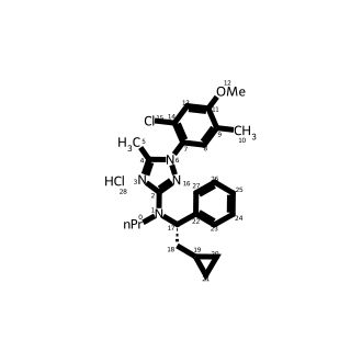 CCCN(c1nc(C)n(-c2cc(C)c(OC)cc2Cl)n1)[C@@H](CC1CC1)c1ccccc1.Cl